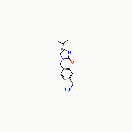 CC(C)[C@H]1CN(Cc2ccc(CN)cc2)C(=O)N1